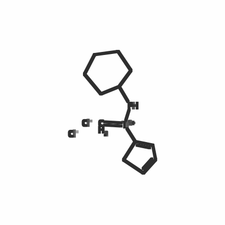 [CH2]=[Ti+2]([PH]C1CCCCC1)[C]1=CC=CC1.[Cl-].[Cl-]